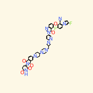 N#Cc1c(-n2ccc(F)c2)ccc(F)c1Oc1ccc2ncn(-c3ccc(N4CC(CN5CCN(C6CCN(c7ccc8c(c7)C(=O)N([C@@H]7CCC(=O)NC7=O)C8=O)CC6)CC5)C4)nc3)c(=O)c2c1